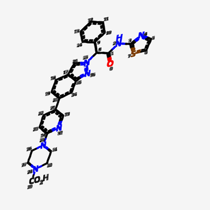 O=C(Nc1nccs1)C(c1ccccc1)n1cc2ccc(-c3ccc(N4CCN(C(=O)O)CC4)nc3)cc2n1